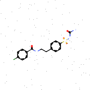 NC(=O)NS(=O)(=O)c1ccc(CCNC(=O)c2ccc(Cl)cc2)cc1